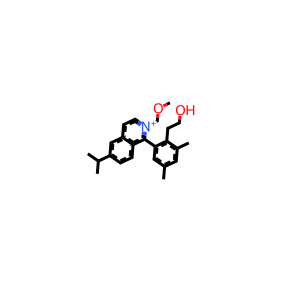 COC[n+]1ccc2cc(C(C)C)ccc2c1-c1cc(C)cc(C)c1CCO